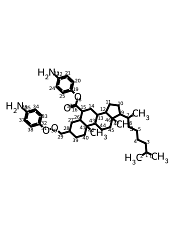 CC(C)CCCCC(C)C1CCC2C3CC(C(=O)Oc4ccc(N)cc4)C4CC(COOc5ccc(N)cc5)CCC4(C)C3CCC12C